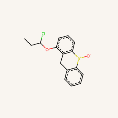 CCC(Cl)Oc1cccc2c1Cc1ccccc1[S+]2[O-]